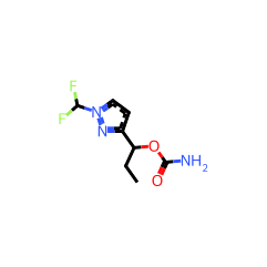 CCC(OC(N)=O)c1ccn(C(F)F)n1